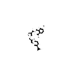 COC(=O)c1ccc(OC)c(F)c1C(C)NC(=O)c1cn(Cc2cn3cc(C4CC4)ccc3n2)nn1